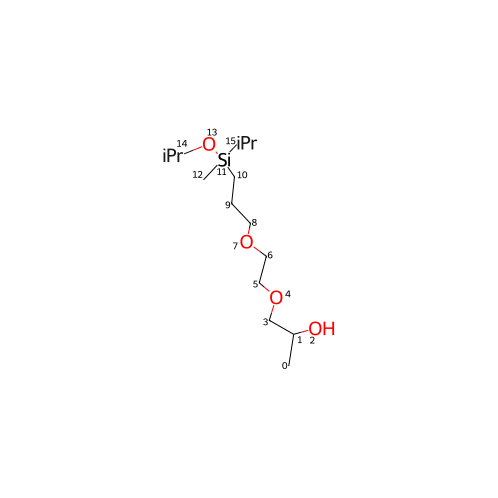 CC(O)COCCOCCC[Si](C)(OC(C)C)C(C)C